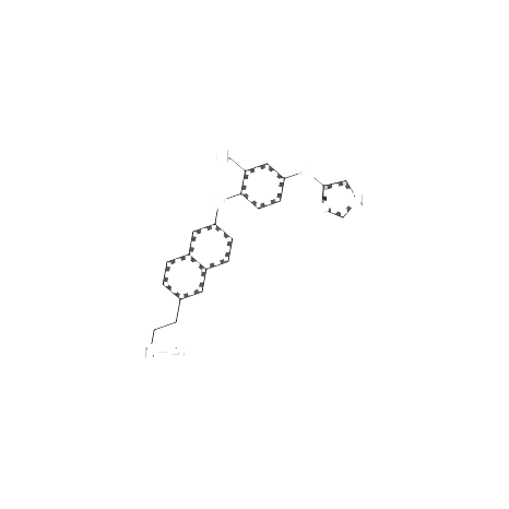 CC(=O)NCCc1ccc2cc(Oc3ccc(Oc4cncs4)cc3Cl)ccc2c1